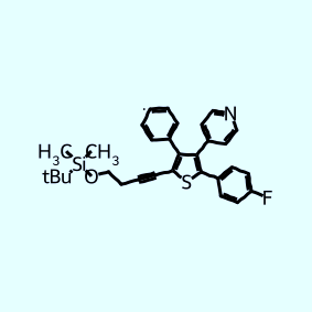 CC(C)(C)[Si](C)(C)OCCC#Cc1sc(-c2ccc(F)cc2)c(-c2ccncc2)c1-c1cc[c]cc1